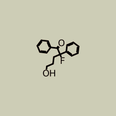 O=C(c1ccccc1)C(F)(CCCO)c1ccccc1